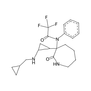 O=C(N(c1ccccc1)C1(C2CC2NCC2CC2)CCCCNC1=O)C(F)(F)F